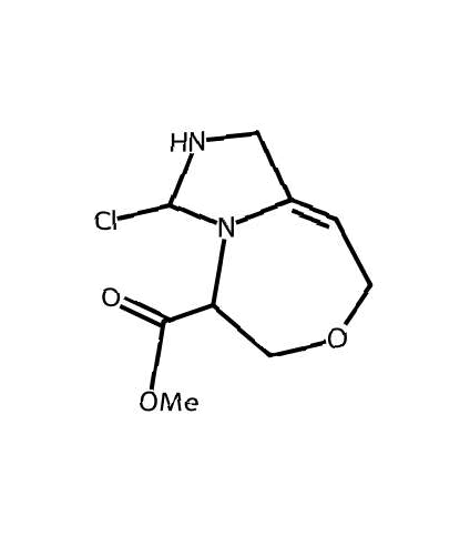 COC(=O)C1COCC=C2CNC(Cl)N21